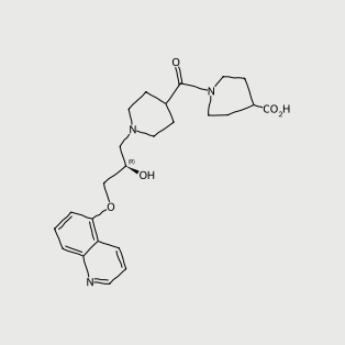 O=C(O)C1CCN(C(=O)C2CCN(C[C@@H](O)COc3cccc4ncccc34)CC2)CC1